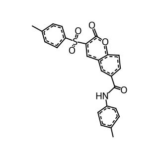 Cc1ccc(NC(=O)c2ccc3oc(=O)c(S(=O)(=O)c4ccc(C)cc4)cc3c2)cc1